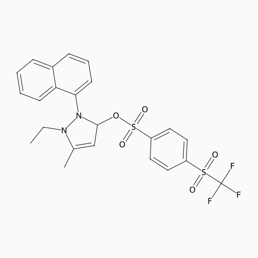 CCN1C(C)=CC(OS(=O)(=O)c2ccc(S(=O)(=O)C(F)(F)F)cc2)N1c1cccc2ccccc12